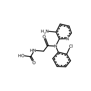 Nc1cccnc1N(C(=O)CNC(=O)O)c1ccccc1Cl